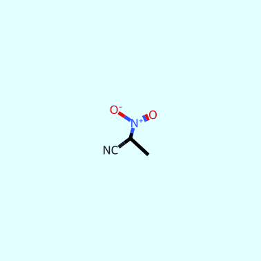 CC(C#N)[N+](=O)[O-]